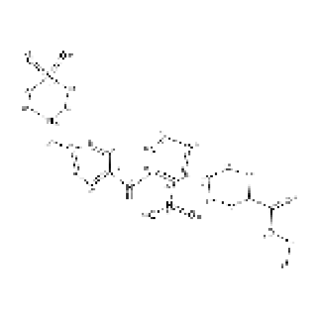 CCOC(=O)C1CCN(c2ncnc(Nc3ccc(CN4CCS(=O)(=O)CC4)cc3)c2[N+](=O)[O-])CC1